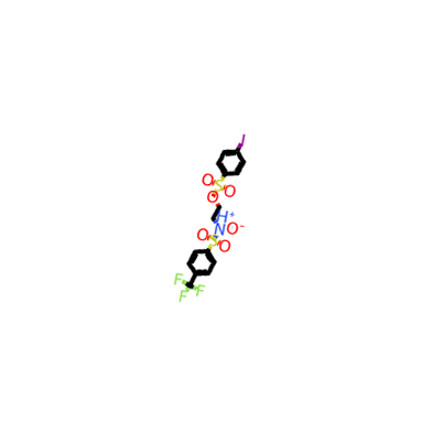 O=S(=O)(OCC[NH+]([O-])S(=O)(=O)c1ccc(C(F)(F)F)cc1)c1ccc(I)cc1